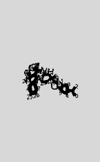 CC(C)c1ccc2oc(C3(C)CCN(c4c(C(N)=O)c(=O)n(C)c5ccccc45)CC3)nc2c1